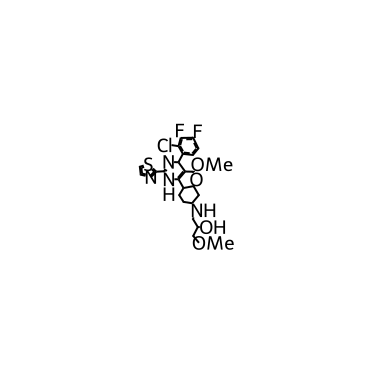 COCC(O)CNC1CCC(C2=C(C(=O)OC)C(c3ccc(F)c(F)c3Cl)N=C(c3nccs3)N2)CC1